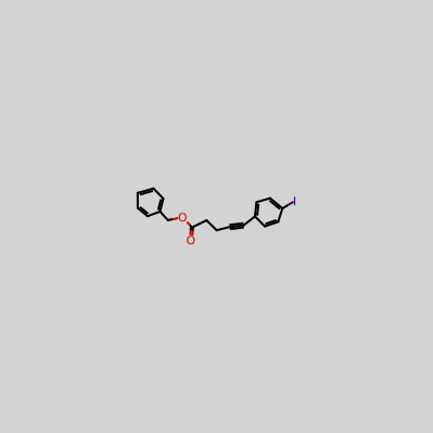 O=C(CCC#Cc1ccc(I)cc1)OCc1ccccc1